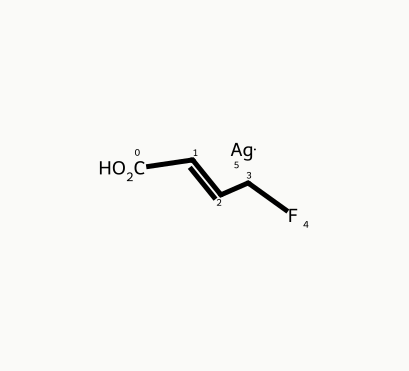 O=C(O)/C=C/CF.[Ag]